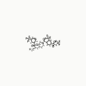 CC(CC1CCN(C(=O)c2ccc(S(=O)(=O)CC(F)(F)F)cc2C(F)(F)F)CC1)S(=O)(=O)c1cncc(C(F)(F)F)c1